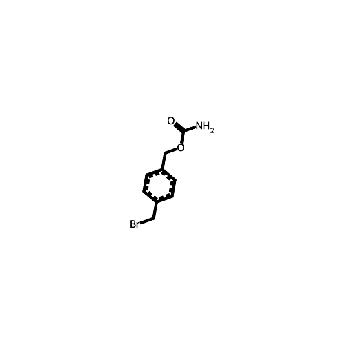 NC(=O)OCc1ccc(CBr)cc1